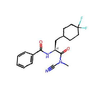 CN(C#N)C(=O)[C@H](CC1CCC(F)(F)CC1)NC(=O)c1ccccc1